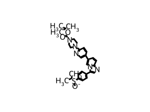 CC(C)[S+]([O-])c1ccc(-c2cnc3ccc(-c4ccc(N5CCN(C(=O)OC(C)(C)C)CC5)nc4)cn23)cc1